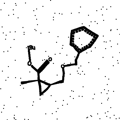 CC(C)(C)OC(=O)[C@@]1(C)C[C@@H]1COCc1ccccc1